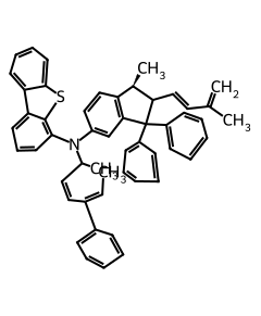 C=C(C)C=CC1[C@H](C)c2ccc(N(c3cccc4c3sc3ccccc34)C(C)/C=C\C(=C/C)c3ccccc3)cc2C1(c1ccccc1)c1ccccc1